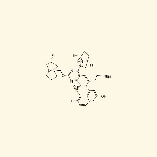 C#Cc1c(F)ccc2cc(O)cc(-c3c(CCC#N)cc4c(N5C[C@H]6CC[C@@H](C5)N6)nc(OC[C@@]56CCCN5C[C@H](F)C6)nc4c3F)c12